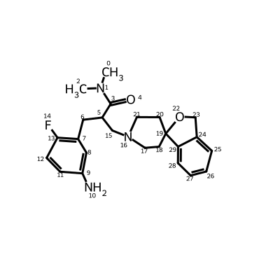 CN(C)C(=O)C(Cc1cc(N)ccc1F)CN1CCC2(CC1)OCc1ccccc12